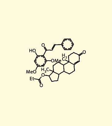 CCC(=O)OC1CCC2C3CCC4=CC(=O)CCC4(C)C3CCC12C.COc1cc(O)c(C(=O)C=Cc2ccccc2)c(OC)c1